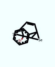 BrC12[Se]C1C=CC1(c3ccccc3)[Se]C12